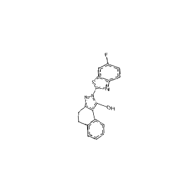 Oc1c2c(nn1-c1nc3ccc(F)cc3s1)CCc1ccccc1-2